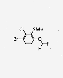 CSc1c(OC(F)F)ccc(Br)c1Cl